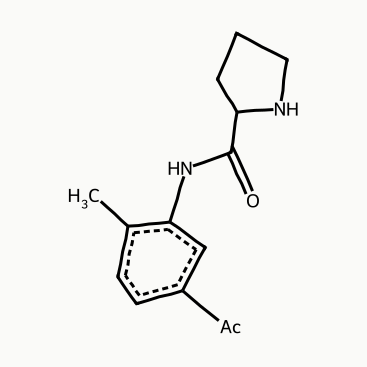 CC(=O)c1ccc(C)c(NC(=O)C2CCCN2)c1